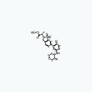 C[C@H](C(=O)OC(C)(C)C)N1Cc2ccc(-c3nc(NC4CCOCC4F)ncc3Cl)cc2S1(=O)=O